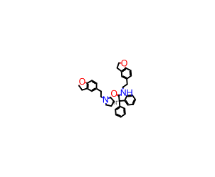 O=C(NCCc1ccc2c(c1)CCO2)C(c1ccccc1)(c1ccccc1)[C@@H]1CCN(CCc2ccc3c(c2)CCO3)C1